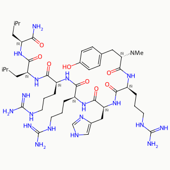 CN[C@@H](Cc1ccc(O)cc1)C(=O)N[C@@H](CCCNC(=N)N)C(=O)N[C@@H](Cc1c[nH]cn1)C(=O)N[C@@H](CCCNC(=N)N)C(=O)N[C@@H](CCCNC(=N)N)C(=O)N[C@@H](CC(C)C)C(=O)N[C@@H](CC(C)C)C(N)=O